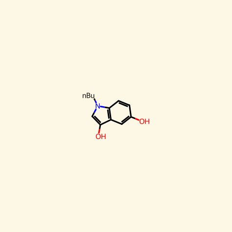 CCCCn1cc(O)c2cc(O)ccc21